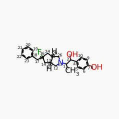 CC(C(O)c1ccc(O)cc1)N1C[C@@H]2C[C@](F)(Cc3ccccc3)C[C@@H]2C1